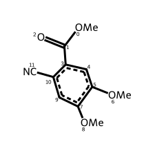 COC(=O)c1cc(OC)c(OC)cc1C#N